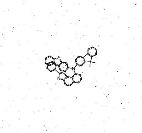 CC1(C)c2ccccc2-c2ccc(N(c3ccc4c(c3)sc3ccccc34)c3cccc4ccc5nc(-c6ccccc6)oc5c34)cc21